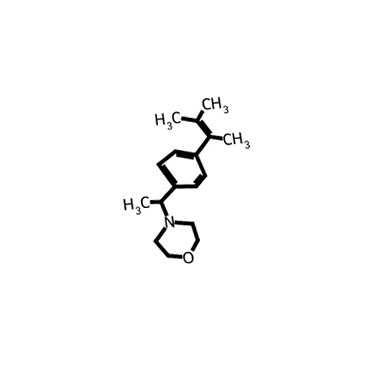 CC(C)=C(C)c1ccc(C(C)N2CCOCC2)cc1